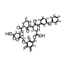 CC(C)CC(C(=O)NC(CC(=O)O)C(=O)COc1c(F)c(F)cc(F)c1F)C(=O)NC(CCC(=O)O)C(=O)Nc1cccc(Oc2ccccc2)c1